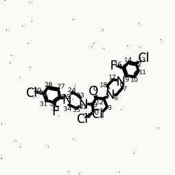 O=C(C(CCl)N1CCN(c2ccc(Cl)cc2F)CC1)C(CCl)N1CCN(c2ccc(Cl)cc2F)CC1